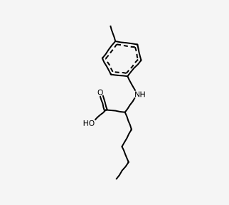 CCCCC(Nc1ccc(C)cc1)C(=O)O